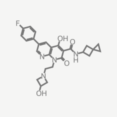 O=C(NC1CC2(CC2)C1)c1c(O)c2cc(-c3ccc(F)cc3)cnc2n(CCN2CC(O)C2)c1=O